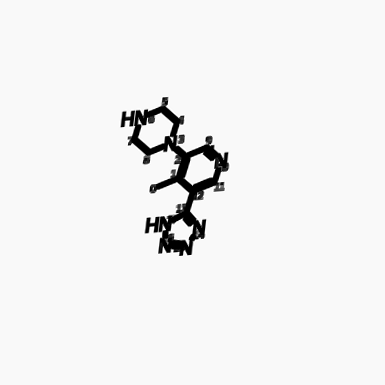 Cc1c(N2CCNCC2)[c]ncc1-c1nnn[nH]1